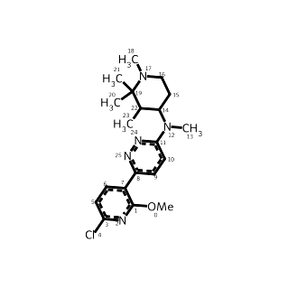 COc1nc(Cl)ccc1-c1ccc(N(C)C2CCN(C)C(C)(C)C2C)nn1